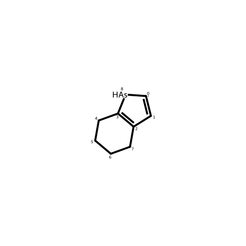 [C]1=CC2=C(CCCC2)[AsH]1